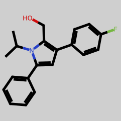 CC(C)n1c(-c2ccccc2)cc(-c2ccc(F)cc2)c1CO